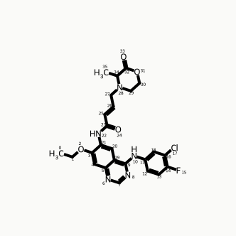 CCOc1cc2ncnc(Nc3ccc(F)c(Cl)c3)c2cc1NC(=O)C=CCN1CCOC(=O)C1C